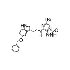 CC(C)(C)c1cn2c(=O)[nH]nc2c(NCCc2c[nH]c3ccc(OCc4ccccc4)cc23)n1